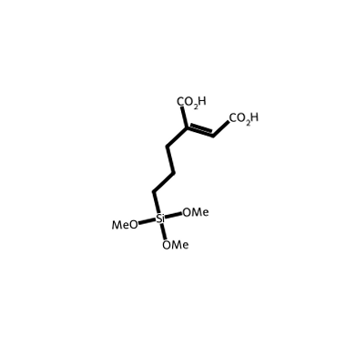 CO[Si](CCCC(=CC(=O)O)C(=O)O)(OC)OC